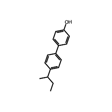 CCC(C)c1ccc(-c2ccc(O)cc2)cc1